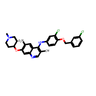 CN1CCC(Oc2cc3ncc(C#N)c(Nc4ccc(OCc5cccc(Cl)c5)c(Cl)c4)c3cc2[N+](=O)[O-])CC1